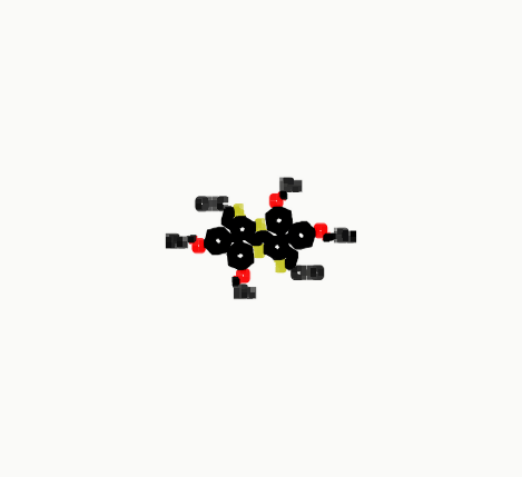 CC[C@@H](C)COc1ccc(C2(c3ccc(OC[C@@H](C)CC)cc3)c3cc(C=O)sc3-c3sc4c5c(sc4c32)-c2sc(C=O)cc2C5(c2ccc(OC[C@H](C)CC)cc2)c2ccc(OC[C@@H](C)CC)cc2)cc1